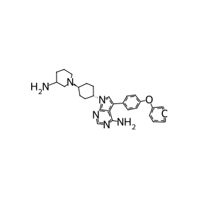 Nc1ncnc2c1c(-c1ccc(Oc3ccccc3)cc1)cn2[C@H]1CC[C@H](N2CCCC(N)C2)CC1